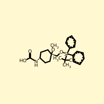 CO[C@]1(CO[Si](c2ccccc2)(c2ccccc2)C(C)(C)C)CC[C@H](NC(=O)O)CC1